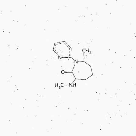 CNC1CCCC(C)N(c2ccccn2)C1=O